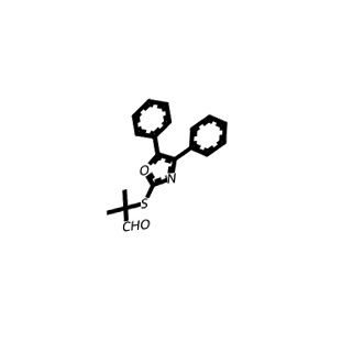 CC(C)(C=O)Sc1nc(-c2ccccc2)c(-c2ccccc2)o1